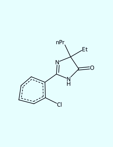 CCCC1(CC)N=C(c2ccccc2Cl)NC1=O